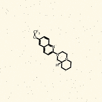 FC(F)(F)Oc1ccc2nc(N3CCN4CCCC[C@@H]4C3)ccc2c1